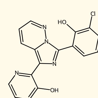 Oc1cccnc1-c1nc(-c2cccc(Cl)c2O)n2ncccc12